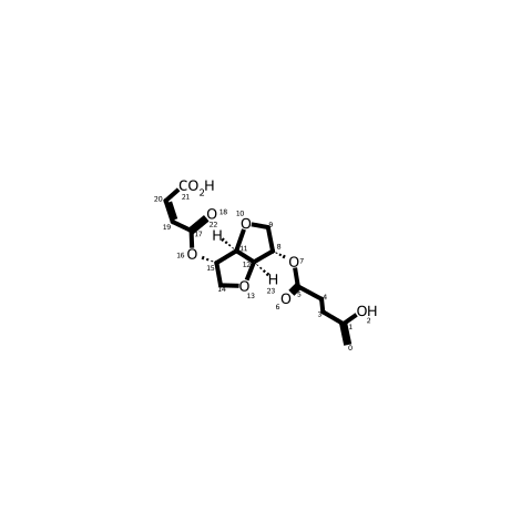 C=C(O)CCC(=O)O[C@H]1CO[C@H]2[C@@H]1OC[C@@H]2OC(=O)/C=C\C(=O)O